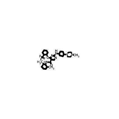 Cc1cccc(C)c1NC(=O)c1cnc(Nc2ccc(N3CCN(C)CC3)cc2)nc1Oc1ccccc1C(F)(F)F